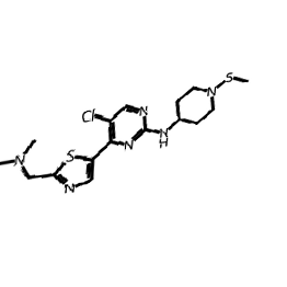 CSN1CCC(Nc2ncc(Cl)c(-c3cnc(CN(C)C)s3)n2)CC1